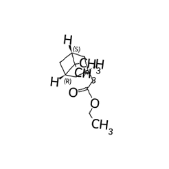 CCOC(=O)C[C@H]1C[C@@H]2C[C@H](C1)C2(C)C